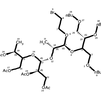 CCCCOCC(O[C@H](OCCBr)[C@@H](C)O[C@@H](OC(COC(C)=O)[C@H](C)OC(C)=O)[C@@H](COC(C)=O)OC(C)=O)[C@H](COCCCC)OCCCC